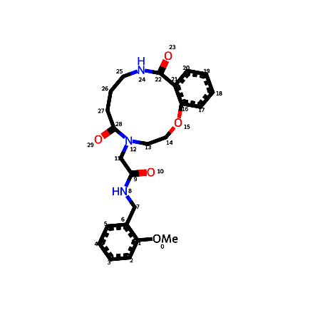 COc1ccccc1CNC(=O)CN1CCOc2ccccc2C(=O)NCCCC1=O